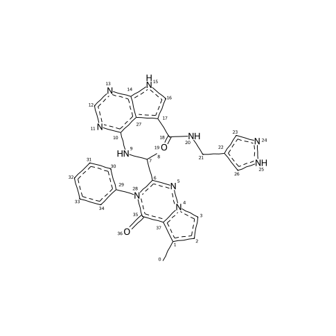 Cc1ccn2nc(C(C)Nc3ncnc4[nH]cc(C(=O)NCc5cn[nH]c5)c34)n(-c3ccccc3)c(=O)c12